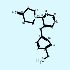 CCc1ccc(Cc2cncnc2N2CCC(=O)CC2)cc1